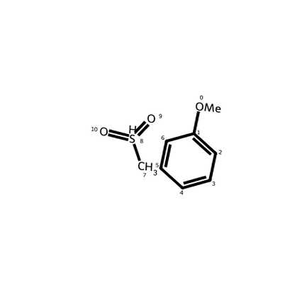 COc1ccccc1.C[SH](=O)=O